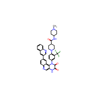 CN1CCC(NC(=O)C2CCN(c3ccc(-n4c(=O)c(=O)[nH]c5cnc6ccc(-c7cnc8ccccc8c7)cc6c54)cc3C(F)(F)F)CC2)CC1